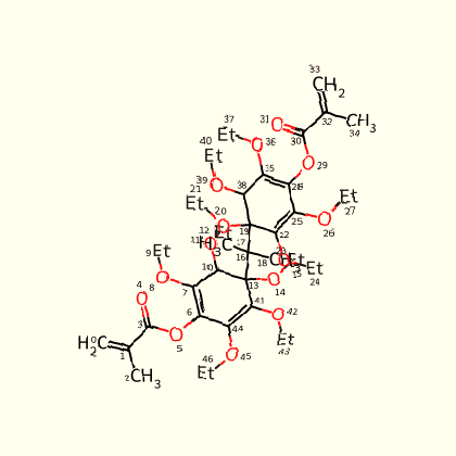 C=C(C)C(=O)OC1=C(OCC)C(OCC)C(OCC)(C(C)(C)C2(OCC)C(OCC)=C(OCC)C(OC(=O)C(=C)C)=C(OCC)C2OCC)C(OCC)=C1OCC